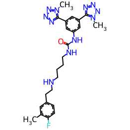 Cc1cc(CCNCCCCNC(=O)Nc2cc(-c3nnnn3C)cc(-c3nnnn3C)c2)ccc1F